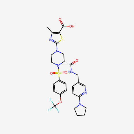 Cc1nc(N2CCN(S(=O)(=O)c3ccc(OC(F)(F)F)cc3)[C@@H](C(=O)NCc3ccc(N4CCCC4)nc3)C2)sc1C(=O)O